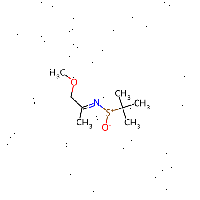 COCC(C)=N[S+]([O-])C(C)(C)C